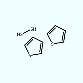 SS.c1ccsc1.c1ccsc1